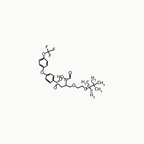 CC(C)(C)[Si](C)(C)OCCOCC(CS(=O)(=O)c1ccc(Oc2ccc(OC(F)(F)F)cc2)cc1)N(O)C=O